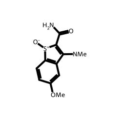 CNc1c(C(N)=O)[s+]([O-])c2ccc(OC)cc12